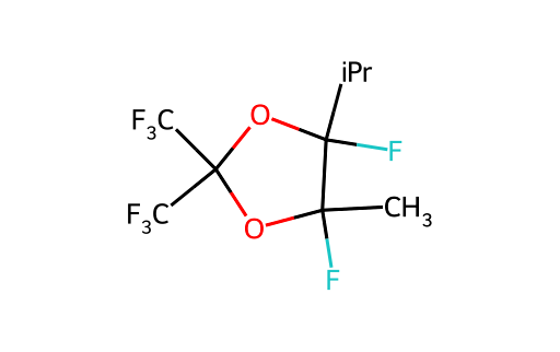 CC(C)C1(F)OC(C(F)(F)F)(C(F)(F)F)OC1(C)F